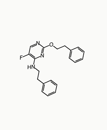 Fc1cnc(OCCc2ccccc2)nc1NCCc1ccccc1